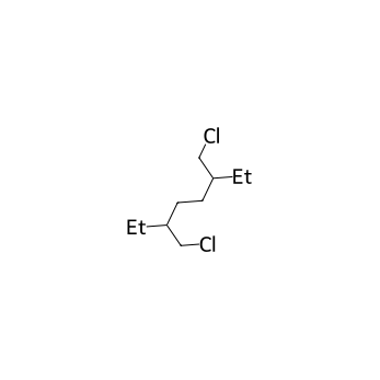 CCC(CCl)CCC(CC)CCl